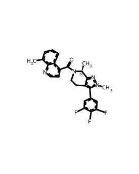 Cc1cccc2c(C(=O)N3CCc4c(nn(C)c4-c4cc(F)c(F)c(F)c4)[C@@H]3C)ccnc12